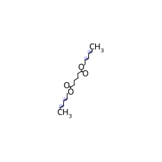 C/C=C/C=C/COC(=O)CCCCC(=O)OC/C=C/C=C/C